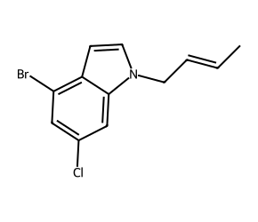 C/C=C/Cn1ccc2c(Br)cc(Cl)cc21